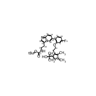 Cc1c(CCOc2cc(F)ccc2-c2ccc3ncc(CCNC(=O)OC(C)(C)C)n3c2)c(C(C)(C)O)nn1C